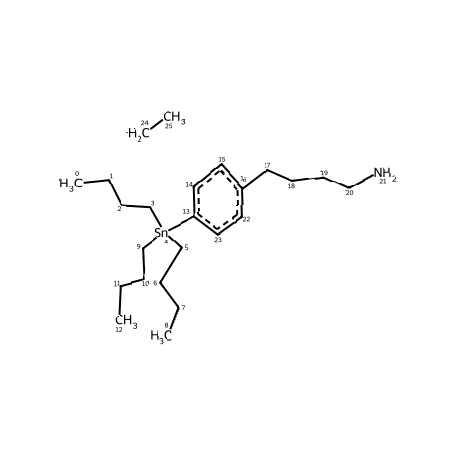 CCC[CH2][Sn]([CH2]CCC)([CH2]CCC)[c]1ccc(CCCCN)cc1.[CH2]C